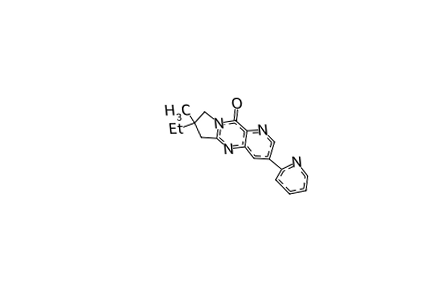 CCC1(C)Cc2nc3cc(-c4ccccn4)cnc3c(=O)n2C1